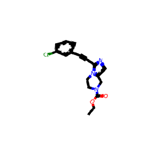 CCOC(=O)N1CCn2c(cnc2C#Cc2cccc(Cl)c2)C1